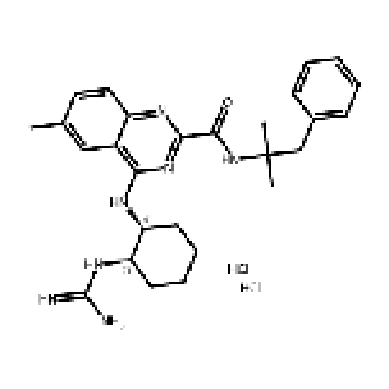 Cc1ccc2nc(C(=O)NC(C)(C)Cc3ccccc3)nc(N[C@H]3CCCC[C@H]3NC(=N)N)c2c1.Cl.Cl